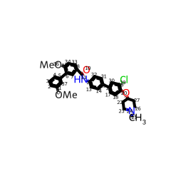 COc1cccc(-c2cc(C(=O)Nc3ccc(-c4ccc(OC5CCN(C)CC5)c(Cl)c4)cc3)ccc2OC)c1